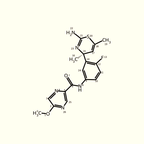 COc1cnc(C(=O)Nc2ccc(F)c([C@]3(C)C=C(C)SC(N)=N3)c2)cn1